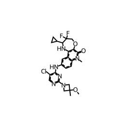 COC1(C)CN(c2ncc(Cl)c(Nc3ccc4c(c3)c3c(c(=O)n4C)OCC(F)(F)C(C4CC4)N3)n2)C1